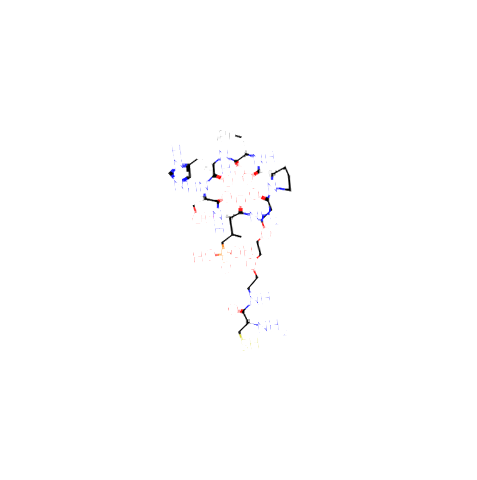 CC(C)C[C@H](NC(=O)[C@@H]1CCCN1C(=O)CCOCCOCCNC(=O)[C@@H](N)CS)C(=O)N[C@@H](Cc1cnc[nH]1)C(=O)N[C@@H](CO)C(=O)N[C@H](C(N)=O)C(C)CP(=O)(O)O